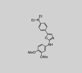 CCN(CC)c1ccc(-c2cnc(Nc3ccc(OC)c(OC)c3)o2)cc1